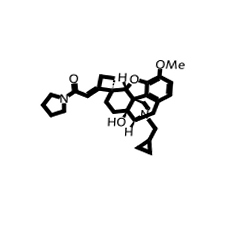 COc1ccc2c3c1O[C@H]1[C@@]4(CC/C4=C\C(=O)N4CCCC4)CC[C@@]4(O)[C@@H](C2)N(CC2CC2)CC[C@]314